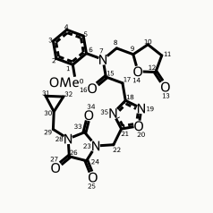 COc1ccccc1N(CC1CCC(=O)O1)C(=O)Cc1noc(CN2C(=O)C(=O)N(CC3CC3)C2=O)n1